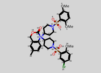 COc1ccc(OC)c(S(=O)(=O)N2CCC([N+]3(C4CCN(S(=O)(=O)c5cc(Br)ccc5OC)CC4)C(=O)OCc4cc(C)ccc43)CC2)c1